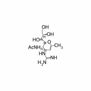 CC(=O)N[C@@H]1[C@H]([C@H](O)[C@H](O)CO)OC(C)=C[C@@H]1NC(=N)N